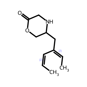 C/C=C\C(=C/C)CC1COC(=O)CN1